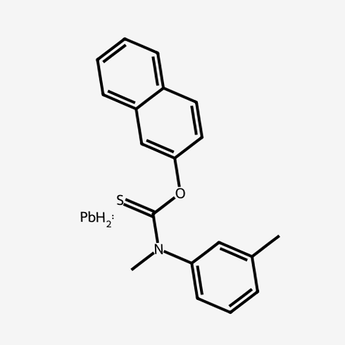 Cc1cccc(N(C)C(=S)Oc2ccc3ccccc3c2)c1.[PbH2]